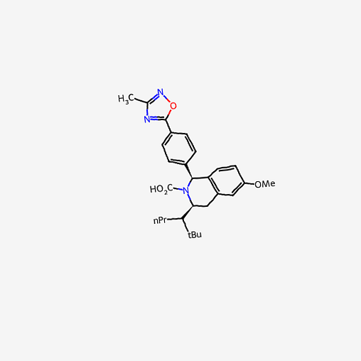 CCCC([C@@H]1Cc2cc(OC)ccc2[C@H](c2ccc(-c3nc(C)no3)cc2)N1C(=O)O)C(C)(C)C